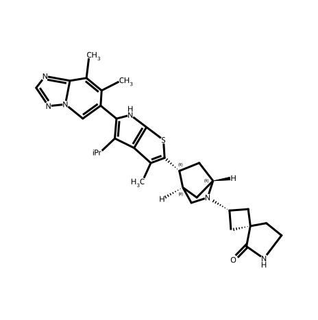 Cc1c(-c2[nH]c3sc([C@@H]4C[C@H]5C[C@H]4CN5[C@H]4C[C@@]5(CCNC5=O)C4)c(C)c3c2C(C)C)cn2ncnc2c1C